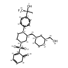 C[C@@](O)(c1ccc(N2CCN(S(=O)(=O)C3=CC=CCC3=S)C[C@@H]2CN2CCO[C@H](CO)C2)cc1)C(F)(F)F